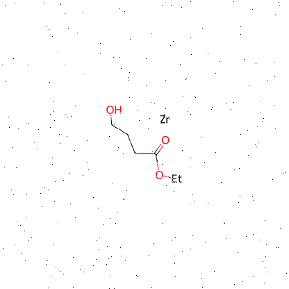 CCOC(=O)CCCO.[Zr]